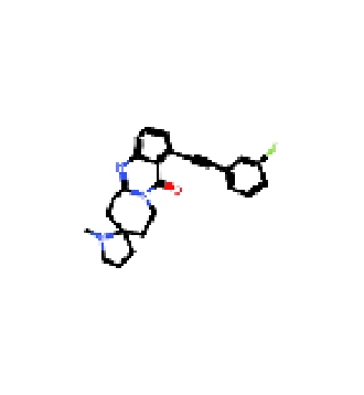 CN1CCCC12CCc1nc3cccc(C#Cc4cccc(F)c4)c3c(=O)n1CC2